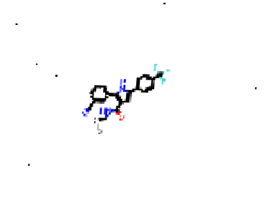 CCNC(=O)c1cc(-c2ccc(C(F)(F)F)cc2)[nH]c1-c1cccc(C#N)c1